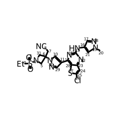 CCS(=O)(=O)N1CC(CC#N)(n2cc(-c3nc(Nc4cnn(C)c4)nc4cc(Cl)sc34)cn2)C1